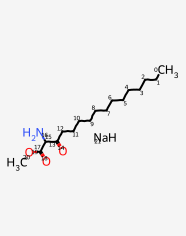 CCCCCCCCCCCCCC(=O)C(N)C(=O)OC.[NaH]